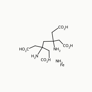 N.NC(CC(=O)O)(CC(=O)O)CC(N)(CC(=O)O)CC(=O)O.[Fe]